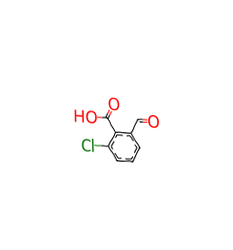 O=Cc1cccc(Cl)c1C(=O)O